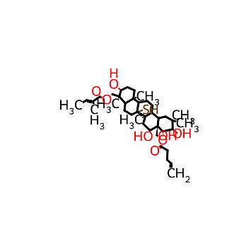 C=CCCC(=O)OC[C@@]12C(CC(C)(C)[C@@H](O)[C@@H]1O)C1=CCC3[C@@]4(C)CC[C@H](O)[C@](C)(COC(=O)/C(C)=C/C)C4CC[C@@]3(S)[C@]1(C)C[C@H]2O